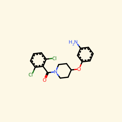 Nc1cccc(OC2CCN(C(=O)c3c(Cl)cccc3Cl)CC2)c1